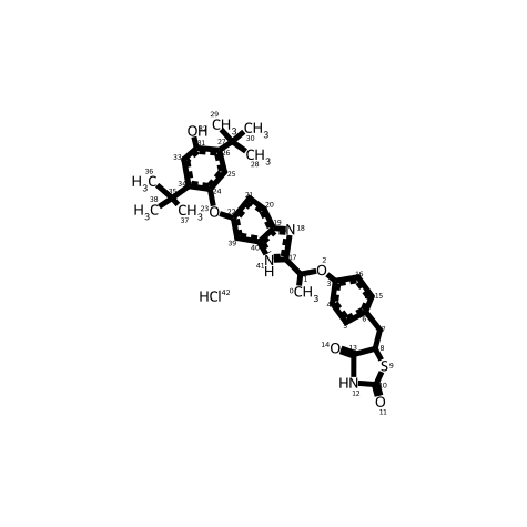 CC(Oc1ccc(CC2SC(=O)NC2=O)cc1)c1nc2ccc(Oc3cc(C(C)(C)C)c(O)cc3C(C)(C)C)cc2[nH]1.Cl